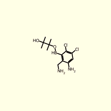 CC(C)(O)C(C)(C)OBc1c(Cl)c(Cl)cc(N)c1CN